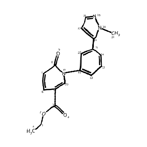 CCOC(=O)c1ccc(=O)n(-c2cccc(-c3ccnn3C)c2)c1